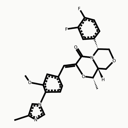 COc1cc(/C=C2\O[C@@H](C)[C@H]3COC[C@@H](c4ccc(F)c(F)c4)N3C2=O)ccc1-n1cnc(C)c1